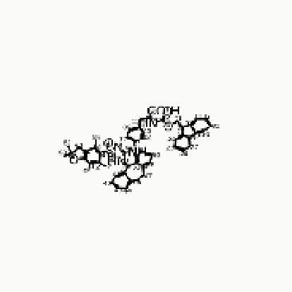 Cc1c(C)c(S(=O)(=O)/N=C(/Nc2ccc(CC(NC(=O)OCC3c4ccccc4-c4ccccc43)C(=O)O)cc2)NC2c3ccccc3CCc3ccccc32)c(C)c2c1OC(C)(C)C2